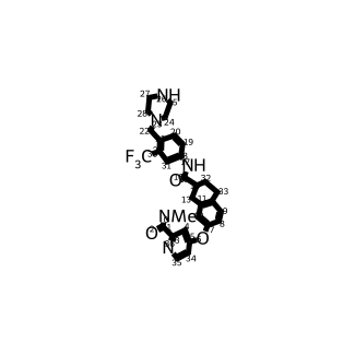 CNC(=O)c1cc(Oc2ccc3c(c2)CC(C(=O)Nc2ccc(CN4CCNCC4)c(C(F)(F)F)c2)CC3)ccn1